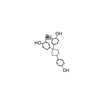 CCC(C)c1cc(C2(c3ccc(O)c(C(C)CC)c3)CCC(c3ccc(O)cc3)CC2)ccc1O